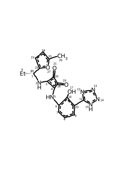 CC[C@@H](Nc1c(Nc2cccc(-c3nnn[nH]3)c2O)c(=O)c1=O)c1ccc(C)o1